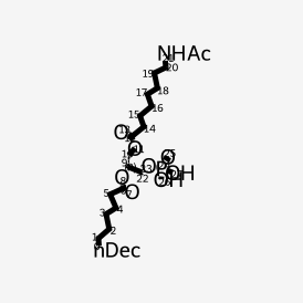 CCCCCCCCCCCCCCCC(=O)O[C@H](COC(=O)CCCCCCCNC(C)=O)COP(=O)(O)O